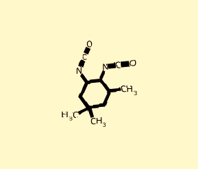 CC1CC(C)(C)CC(N=C=O)C1N=C=O